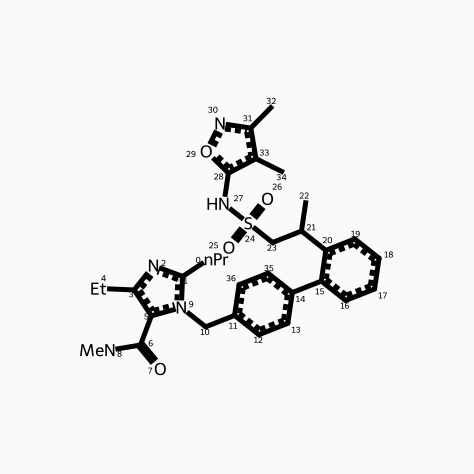 CCCc1nc(CC)c(C(=O)NC)n1Cc1ccc(-c2ccccc2C(C)CS(=O)(=O)Nc2onc(C)c2C)cc1